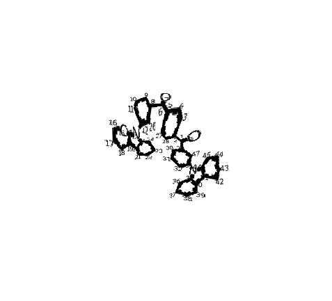 O=C(c1ccc(C(=O)c2cccc(-n3c4ccccc4c4ccccc43)c2)cc1)c1cccc(-n2c3ccccc3c3ccccc32)c1